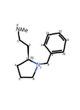 CNCC[C@@H]1CCCN1Cc1ccccc1